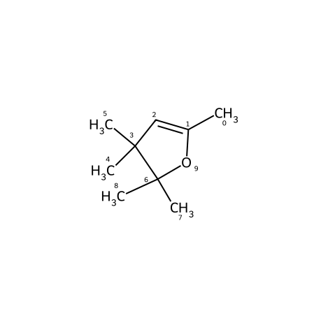 CC1=CC(C)(C)C(C)(C)O1